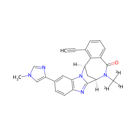 [2H]C([2H])([2H])N1C(=O)c2cccc(C#C)c2[C@H]2C[C@@H]1c1nc3ccc(-c4cn(C)cn4)cc3n12